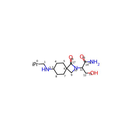 CC(C)CNC1CCC2(CC1)CN(C(CO)C(N)=O)C2=O